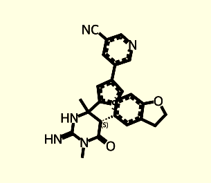 CN1C(=N)NC(C)(c2cc(-c3cncc(C#N)c3)cs2)[C@H](c2ccc3c(c2)CCO3)C1=O